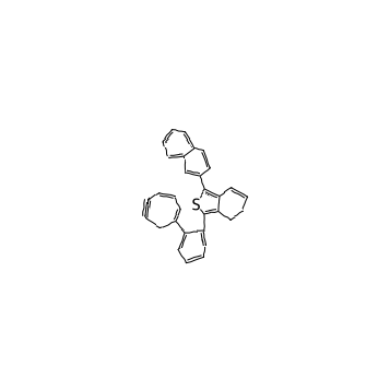 C1#CCC(c2ccccc2-c2sc(-c3ccc4ccccc4c3)c3c2CCC=C3)=CC=C1